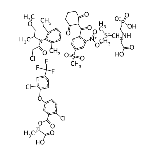 CCc1cccc(C)c1N(C(=O)CCl)C(C)COC.CS(=O)(=O)c1ccc(C(=O)C2C(=O)CCCC2=O)c([N+](=O)[O-])c1.C[C@H](OC(=O)c1cc(Oc2ccc(C(F)(F)F)cc2Cl)ccc1Cl)C(=O)O.C[S+](C)C.O=C(O)CNCP(=O)([O-])O